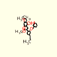 CCCCc1ccc(C(=Cc2ccc3c(c2O)C=CC(C)(C)O3)C(=O)OC)c(OCc2ccccc2)c1